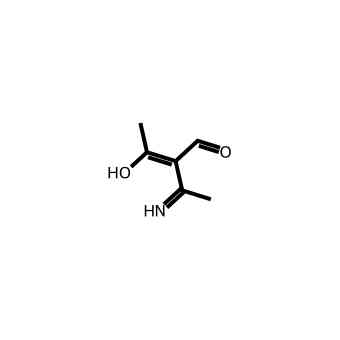 CC(=N)/C(C=O)=C(/C)O